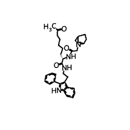 CC(=O)CCCCC[C@H](NC(=O)CN1CC2CCC1C2)C(=O)NCCc1c(-c2ccccc2)[nH]c2ccccc12